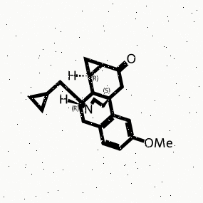 COc1ccc2c(c1)[C@]13CCN(CC4CC4)[C@H](C2)C1[C@H]1CC1C(=O)C3